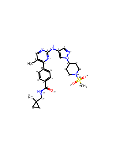 Cc1cnc(Nc2cnn(C3CCN(S(C)(=O)=O)CC3)c2)nc1-c1ccc(C(=O)NCC2(C#N)CC2)cc1